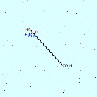 NC(CS)C(=O)NCCCCCCCCCCCCCCCCCCC(=O)O